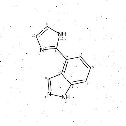 [c]1n[nH]c2cccc(-c3ncc[nH]3)c12